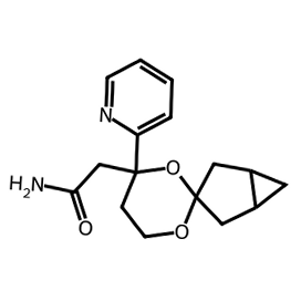 NC(=O)CC1(c2ccccn2)CCOC2(CC3CC3C2)O1